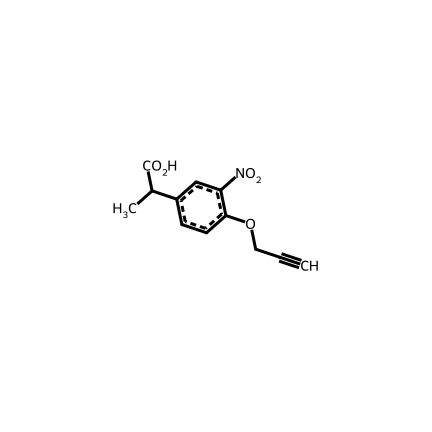 C#CCOc1ccc(C(C)C(=O)O)cc1[N+](=O)[O-]